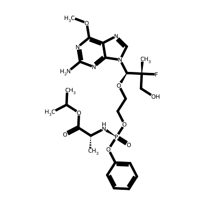 COc1nc(N)nc2c1ncn2[C@H](OCCO[P@@](=O)(N[C@H](C)C(=O)OC(C)C)Oc1ccccc1)[C@](C)(F)CO